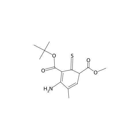 COC(=O)C1C=C(C)C(N)=C(C(=O)OC(C)(C)C)C1=S